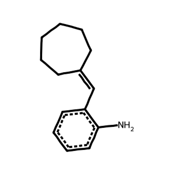 Nc1ccccc1C=C1CCCCCC1